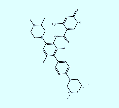 CC1CN(c2cc(F)c(-c3cnc(N4C[C@@H](C)O[C@@H](C)C4)nc3)c(F)c2NC(=O)c2c[nH]c(=O)cc2C(F)(F)F)CCN1C